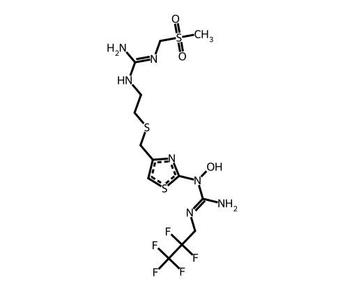 CS(=O)(=O)CN=C(N)NCCSCc1csc(N(O)C(N)=NCC(F)(F)C(F)(F)F)n1